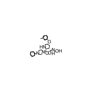 Cc1cccc(O[C@@H]2CN[C@H](C(=O)N3CCN(c4ccccc4)CC3)[C@@H](C(=O)NCO)C2)c1